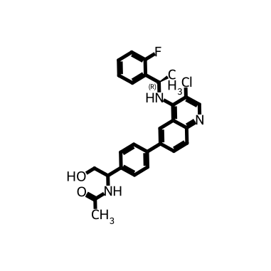 CC(=O)NC(CO)c1ccc(-c2ccc3ncc(Cl)c(N[C@H](C)c4ccccc4F)c3c2)cc1